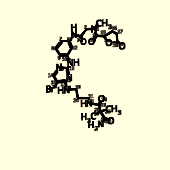 CN(CC(=O)Nc1cccc(Nc2ncc(Br)c(NCCCNC(=O)C(C)(C)C(N)=O)n2)c1)C(=O)C1CCC(=O)O1